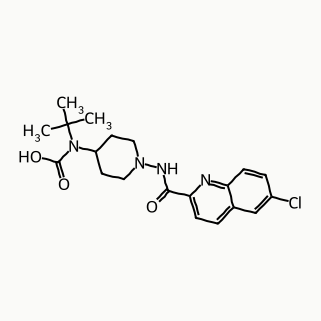 CC(C)(C)N(C(=O)O)C1CCN(NC(=O)c2ccc3cc(Cl)ccc3n2)CC1